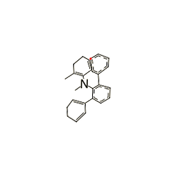 CC1=C(N(C)c2c(C3=CCCC=C3)cccc2-c2ccccc2)C=CCC1